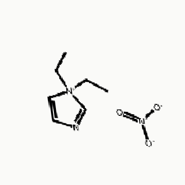 CC[N+]1(CC)C=CN=C1.O=[N+]([O-])[O-]